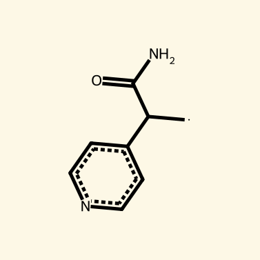 [CH2]C(C(N)=O)c1ccncc1